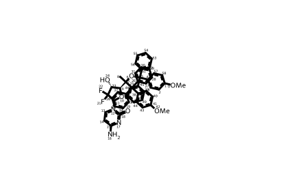 COc1ccc(C(OC(C)([C@H]2O[C@@H](n3ccc(N)nc3=O)C(F)(F)[C@@H]2O)C(c2ccccc2)(c2ccccc2)c2ccc(OC)cc2)(c2ccccc2)c2ccccc2)cc1